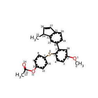 COc1ccc(Sc2ccc(OC(C)=O)cc2)c(-c2ccc3c(c2)C(C)C=C3)c1